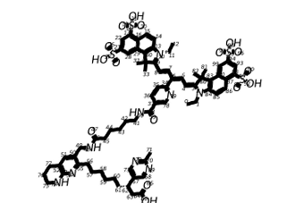 CCN1/C(=C/C=C(/C=C/C2=[N+](CC)c3ccc4c(S(=O)(=O)O)cc(S(=O)(=O)O)cc4c3C2(C)C)c2ccc(C(=O)NCCCCCC(=O)NCc3cc4c(nc3CCCCCC[C@@H](CC(=O)O)c3cnc(C)nc3)NCCC4)cn2)C(C)(C)c2c1ccc1c(S(=O)(=O)O)cc(S(=O)(=O)O)cc21